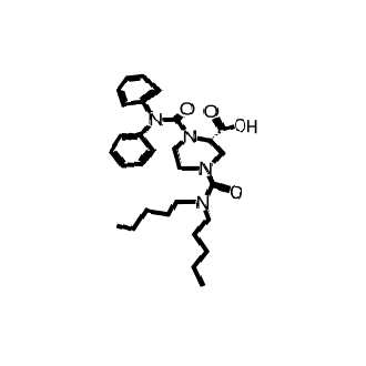 CCCCCN(CCCCC)C(=O)N1CCN(C(=O)N(c2ccccc2)c2ccccc2)[C@H](C(=O)O)C1